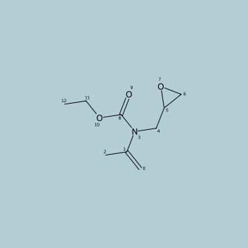 C=C(C)N(CC1CO1)C(=O)OCC